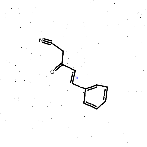 N#CCC(=O)/C=C/c1ccccc1